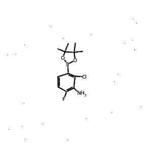 CC1(C)OB(c2ccc(F)c(N)c2Cl)OC1(C)C